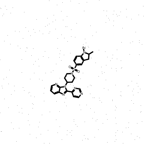 CC(=O)N1c2ccc(S(=O)(=O)N3CCC(n4c(-c5ccncn5)nc5cccnc54)CC3)cc2CC1C